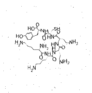 NCCCC[C@H](NC(=O)[C@@H](N)CCCCN)C(=O)N[C@@H](CCN)C(=O)N[C@@H](CCN)C(=O)N[C@@H](CS)C(=O)N[C@@H](Cc1ccc(O)cc1)C(=O)O